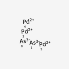 [As-3].[As-3].[Pd+2].[Pd+2].[Pd+2]